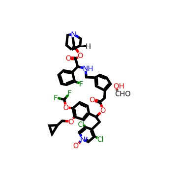 O=C(Cc1cccc(CNC(C(=O)O[C@H]2CN3CCC2CC3)c2ccccc2F)c1)OC(Cc1c(Cl)c[n+]([O-])cc1Cl)c1ccc(OC(F)F)c(OCC2CC2)c1.O=CO